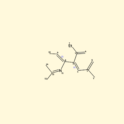 C=C(C)/C=C(C(=C)CC)/C(=C/C)N=C(C)C